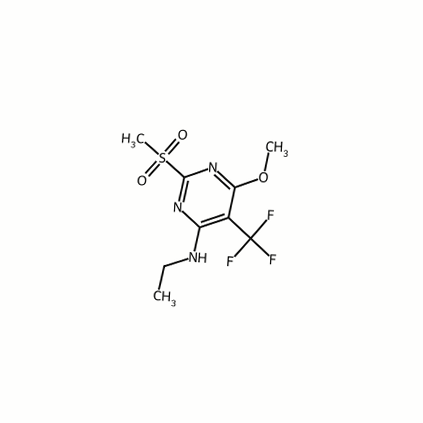 CCNc1nc(S(C)(=O)=O)nc(OC)c1C(F)(F)F